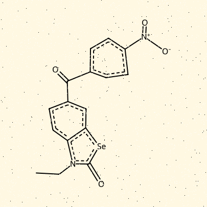 CCn1c(=O)[se]c2cc(C(=O)c3ccc([N+](=O)[O-])cc3)ccc21